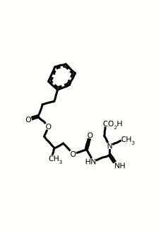 CC(COC(=O)CCc1ccccc1)COC(=O)NC(=N)N(C)CC(=O)O